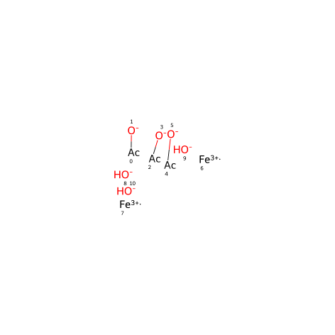 CC(=O)[O-].CC(=O)[O-].CC(=O)[O-].[Fe+3].[Fe+3].[OH-].[OH-].[OH-]